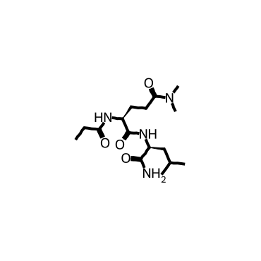 CCC(=O)N[C@@H](CCC(=O)N(C)C)C(=O)N[C@@H](CC(C)C)C(N)=O